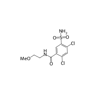 COCCNC(=O)c1cc(S(N)(=O)=O)c(Cl)cc1Cl